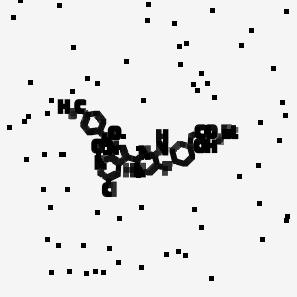 CCOC(=O)C[C@]1(O)CCC[C@H](NC2=NC(c3cn(S(=O)(=O)c4ccc(C)cc4)c4ncc(Cl)cc34)NC=C2F)C1